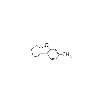 Cc1ccc2c3c(oc2c1)CCCC3